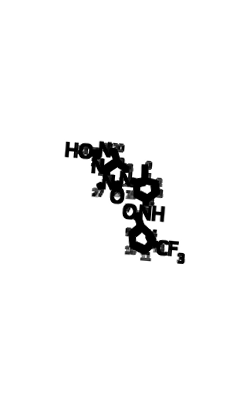 Cc1ccc(NC(=O)c2cccc(C(F)(F)F)c2)cc1N1Cc2cnc(O)nc2N(C)C1=O